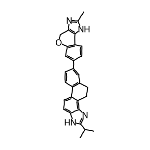 Cc1nc2c([nH]1)-c1ccc(-c3ccc4c(c3)CCc3c-4ccc4[nH]c(C(C)C)nc34)cc1OC2